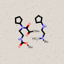 CC(C)(C)N(CCNC1CCCC1)C(=O)O.COC(=O)C(=O)N(CCNC(=O)OC(C)(C)C)C1CCCC1